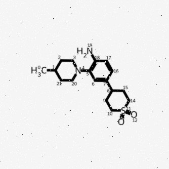 CC1CCN(c2cc(C3CCS(=O)(=O)CC3)ccc2N)CC1